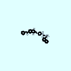 C[C@@H](NC(=O)N[C@H]1CC[C@H](CCN2[C@@H]3CC[C@H]2c2ccc(C(=O)Cc4ccccc4)cc23)CC1)c1cccc2ccccc12